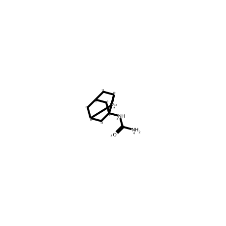 NC(=O)NC12CC3CC(CC(C3)O1)C2